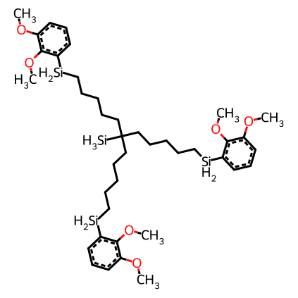 COc1cccc([SiH2]CCCCCC([SiH3])(CCCCC[SiH2]c2cccc(OC)c2OC)CCCCC[SiH2]c2cccc(OC)c2OC)c1OC